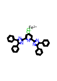 [Cl-].[Cl-].[Fe+2].c1ccc(C2=NC(c3cccc(C4=NC(c5ccccc5)C(c5ccccc5)=N4)n3)=NC2c2ccccc2)cc1